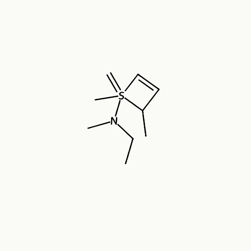 C=S1(C)(N(C)CC)C=CC1C